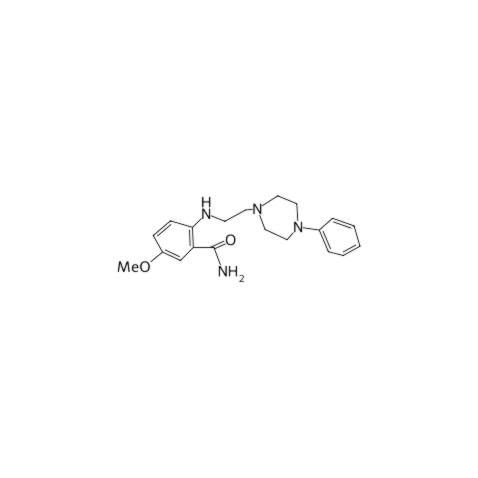 COc1ccc(NCCN2CCN(c3ccccc3)CC2)c(C(N)=O)c1